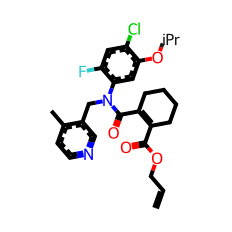 C=CCOC(=O)C1=C(C(=O)N(Cc2cnccc2C)c2cc(OC(C)C)c(Cl)cc2F)CCCC1